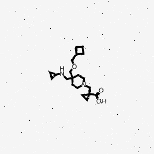 O=C(O)C1(CN2CCC(CNC3CC3)(COCC3CCC3)CC2)CC1